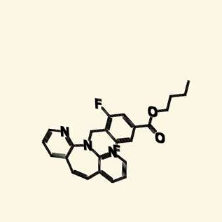 CCCCOC(=O)c1cc(F)c(CN2c3ncccc3C=Cc3cccnc32)c(F)c1